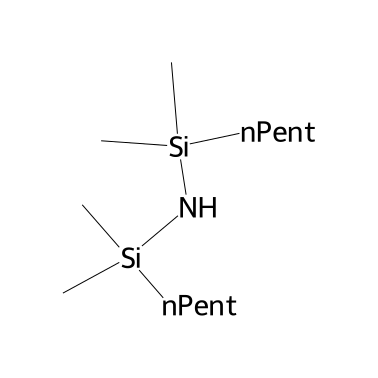 CCCCC[Si](C)(C)N[Si](C)(C)CCCCC